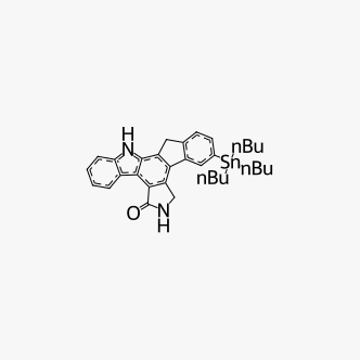 CCC[CH2][Sn]([CH2]CCC)([CH2]CCC)[c]1ccc2c(c1)-c1c3c(c4c([nH]c5ccccc54)c1C2)C(=O)NC3